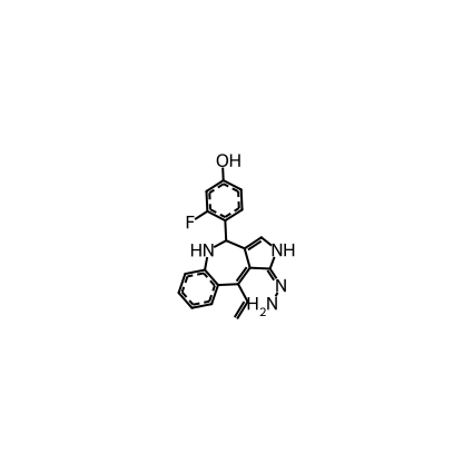 C=CC1=C2C(=CN/C2=N/N)C(c2ccc(O)cc2F)Nc2ccccc21